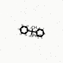 CCCCCC(C)(c1cc[c]cc1)c1cc[c]cc1